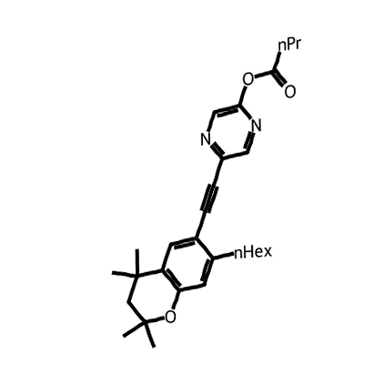 CCCCCCc1cc2c(cc1C#Cc1cnc(OC(=O)CCC)cn1)C(C)(C)CC(C)(C)O2